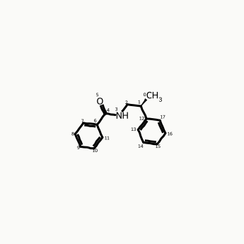 C[C@H](CNC(=O)c1ccccc1)c1ccccc1